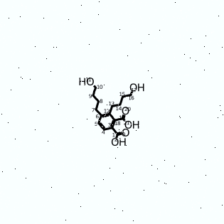 O=C(O)c1ccc(CCCCO)c(CCCCO)c1C(=O)O